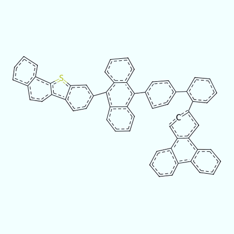 c1ccc(-c2ccc3c4ccccc4c4ccccc4c3c2)c(-c2ccc(-c3c4ccccc4c(-c4ccc5c(c4)sc4c6ccccc6ccc54)c4ccccc34)cc2)c1